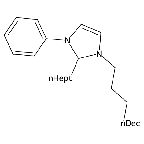 CCCCCCCCCCCCCN1C=CN(c2ccccc2)C1CCCCCCC